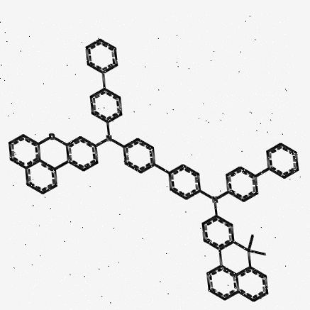 CC1(C)c2cc(N(c3ccc(-c4ccccc4)cc3)c3ccc(-c4ccc(N(c5ccc(-c6ccccc6)cc5)c5ccc6c(c5)Oc5cccc7cccc-6c57)cc4)cc3)ccc2-c2cccc3cccc1c23